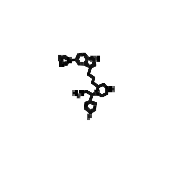 NCC(c1ccc(F)cc1)N1CCNCC1CCCc1c[nH]c2ccc(-n3cnnc3)cc12